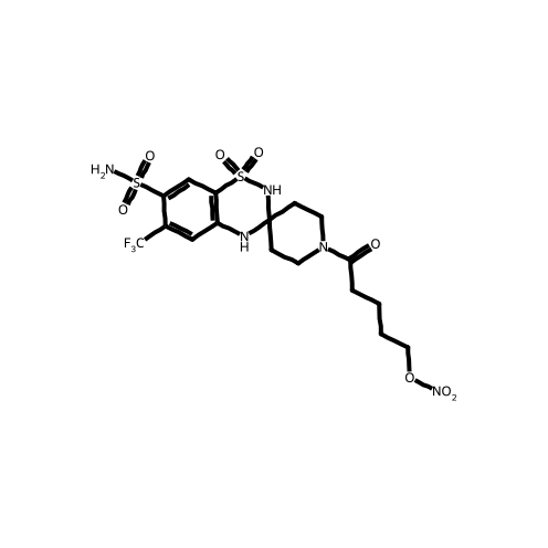 NS(=O)(=O)c1cc2c(cc1C(F)(F)F)NC1(CCN(C(=O)CCCCO[N+](=O)[O-])CC1)NS2(=O)=O